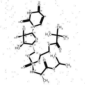 CC(C)OC(=O)[C@H](C)N[P@](=S)(OCCSC(=O)C(C)(C)C)OC[C@H]1O[C@@H](n2ccc(=O)[nH]c2=O)[C@@](F)(Cl)[C@@H]1O